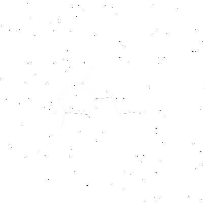 [SiH3]CCc1cc(Cl)ccc1Cl